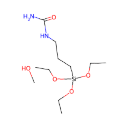 CCO[Si](CCCNC(N)=O)(OCC)OCC.CO